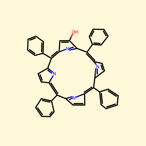 OC1=CC2=C(c3ccccc3)C3=NC(=C(c4ccccc4)C4=NC(=C(c5ccccc5)C5=NC(=C(c6ccccc6)C1=N2)C=C5)C=C4)C=C3